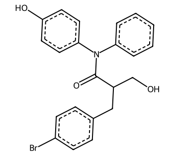 O=C(C(CO)Cc1ccc(Br)cc1)N(c1ccccc1)c1ccc(O)cc1